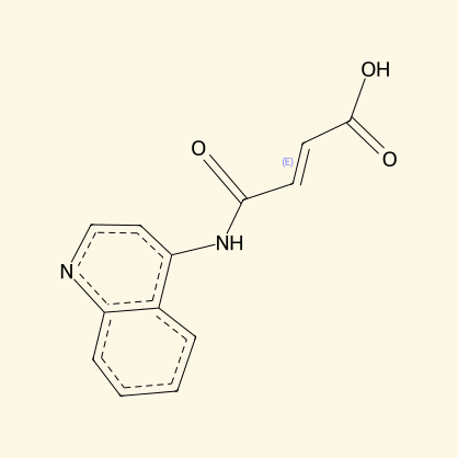 O=C(O)/C=C/C(=O)Nc1ccnc2ccccc12